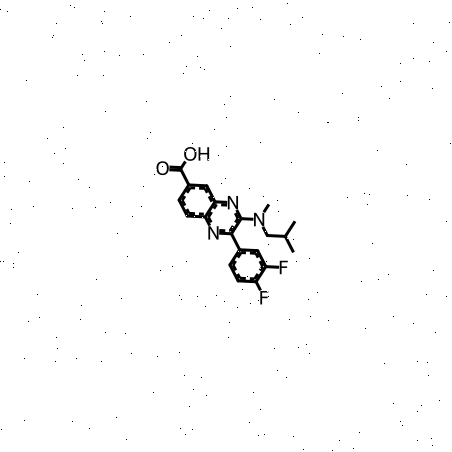 CC(C)CN(C)c1nc2cc(C(=O)O)ccc2nc1-c1ccc(F)c(F)c1